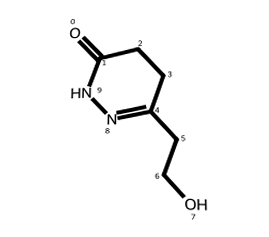 O=C1CCC(CCO)=NN1